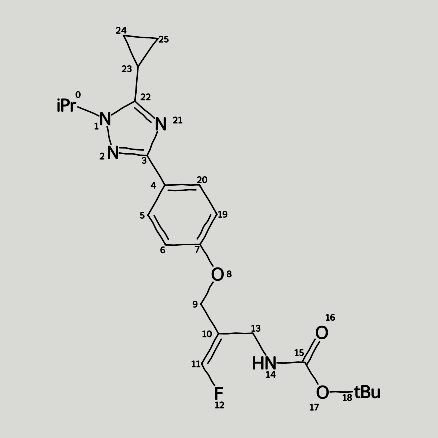 CC(C)n1nc(-c2ccc(OC/C(=C/F)CNC(=O)OC(C)(C)C)cc2)nc1C1CC1